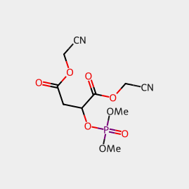 COP(=O)(OC)OC(CC(=O)OCC#N)C(=O)OCC#N